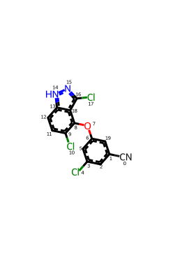 N#Cc1cc(Cl)cc(Oc2c(Cl)ccc3[nH]nc(Cl)c23)c1